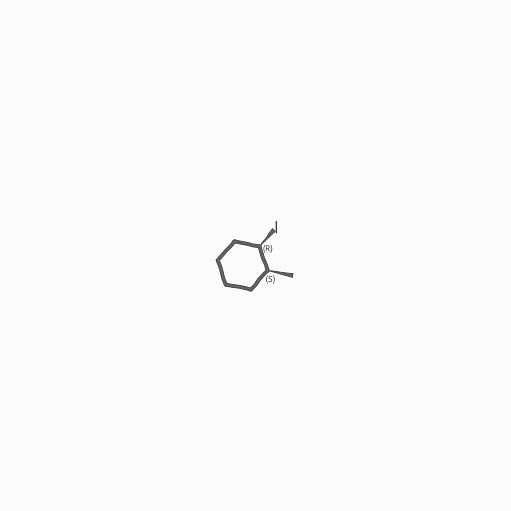 C[C@H]1CCCC[C@H]1I